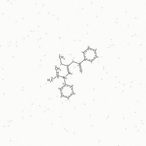 CCC(CC(=O)c1ccccc1)=NN(c1ccccc1)[SiH](C)C